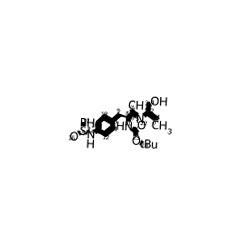 C/C=C(CO)\N=C(/C)[C@H](Cc1ccc(N[S+]([O-])P)cc1)NC(=O)OC(C)(C)C